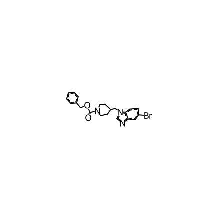 O=C(OCc1ccccc1)N1CCC(Cn2cnc3cc(Br)ccc32)CC1